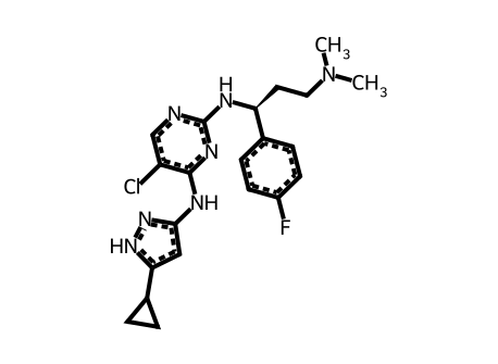 CN(C)CC[C@H](Nc1ncc(Cl)c(Nc2cc(C3CC3)[nH]n2)n1)c1ccc(F)cc1